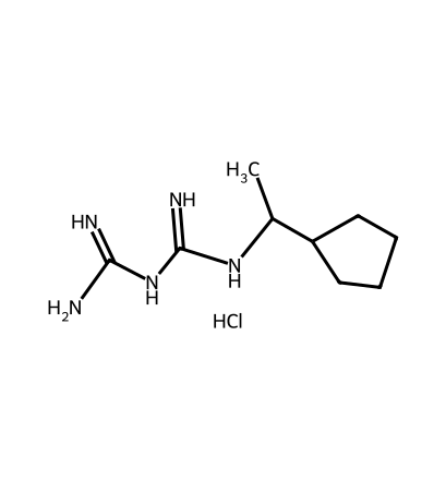 CC(NC(=N)NC(=N)N)C1CCCC1.Cl